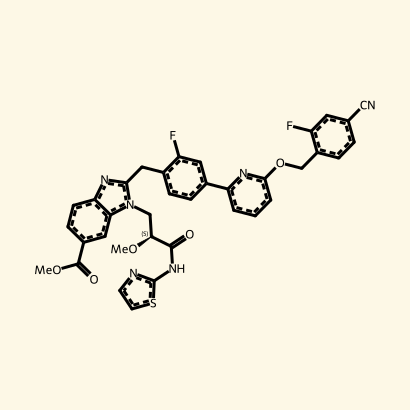 COC(=O)c1ccc2nc(Cc3ccc(-c4cccc(OCc5ccc(C#N)cc5F)n4)cc3F)n(C[C@H](OC)C(=O)Nc3nccs3)c2c1